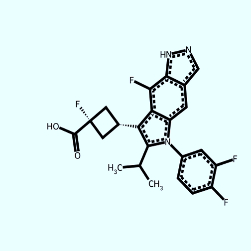 CC(C)c1c([C@H]2C[C@](F)(C(=O)O)C2)c2c(F)c3[nH]ncc3cc2n1-c1ccc(F)c(F)c1